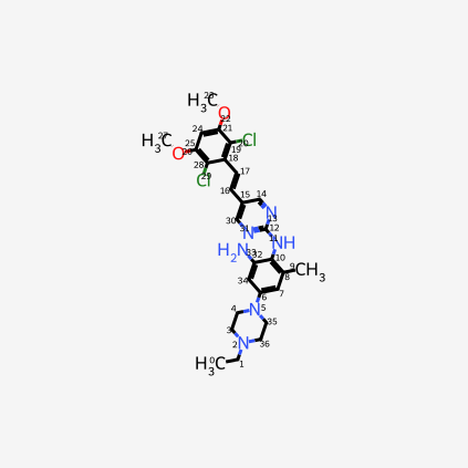 CCN1CCN(c2cc(C)c(Nc3ncc(/C=C/c4c(Cl)c(OC)cc(OC)c4Cl)cn3)c(N)c2)CC1